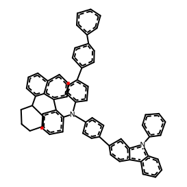 c1ccc(-c2ccc(-c3ccc(N(c4ccc(-c5ccc6c7ccccc7n(-c7ccccc7)c6c5)cc4)c4ccccc4-c4cccc5cccc(C6CCCCC6)c45)cc3)cc2)cc1